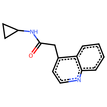 O=C(Cc1ccnc2ccccc12)NC1CC1